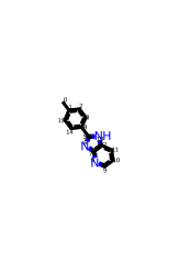 Cc1ccc(-c2nc3ncccc3[nH]2)cc1